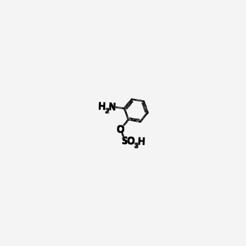 Nc1ccccc1OS(=O)(=O)O